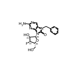 Nc1ncc2c(n1)n([C@@H]1O[C@H](CO)[C@@H](F)[C@H]1O)c(=O)n2Cc1ccccc1